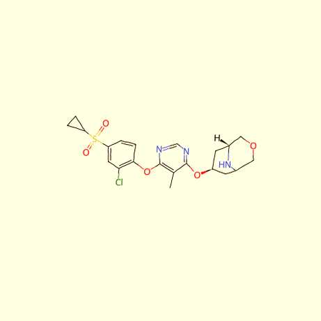 Cc1c(Oc2ccc(S(=O)(=O)C3CC3)cc2Cl)ncnc1O[C@@H]1CC2COC[C@@H](C1)N2